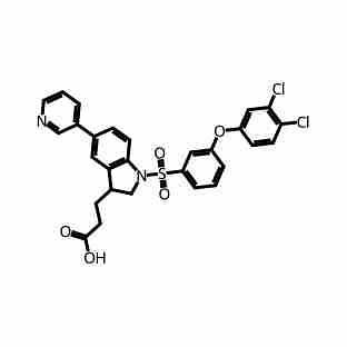 O=C(O)CCC1CN(S(=O)(=O)c2cccc(Oc3ccc(Cl)c(Cl)c3)c2)c2ccc(-c3cccnc3)cc21